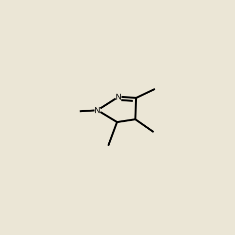 CC1=NN(C)C(C)C1C